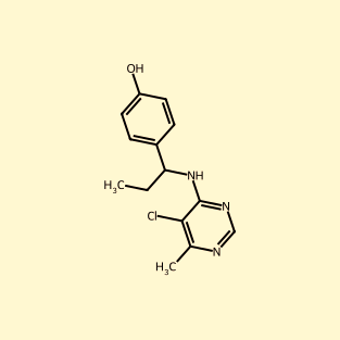 CCC(Nc1ncnc(C)c1Cl)c1ccc(O)cc1